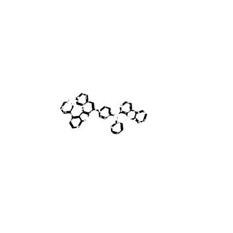 C1=CNCC(c2cccc3oc4c(-c5ccc(N(c6ccccc6)c6cccc7c6oc6ccccc67)cc5)cc5ccccc5c4c23)=C1